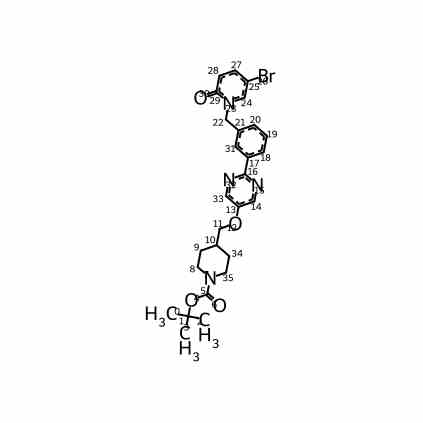 CC(C)(C)OC(=O)N1CCC(COc2cnc(-c3cccc(Cn4cc(Br)ccc4=O)c3)nc2)CC1